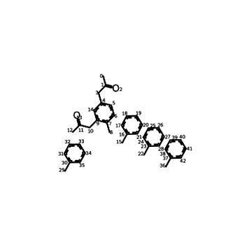 CC(=O)Cc1ccc(C)c(CC(C)=O)c1.Cc1ccccc1.Cc1ccccc1.Cc1ccccc1.Cc1ccccc1